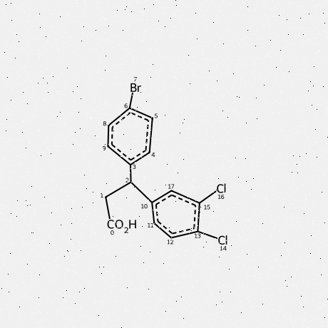 O=C(O)CC(c1ccc(Br)cc1)c1ccc(Cl)c(Cl)c1